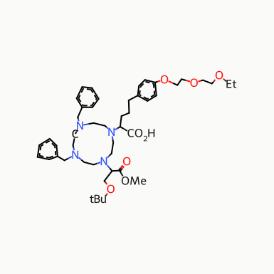 CCOCCOCCOc1ccc(CCCC(C(=O)O)N2CCN(Cc3ccccc3)CCN(Cc3ccccc3)CCN(C(COC(C)(C)C)C(=O)OC)CC2)cc1